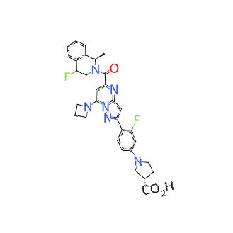 C[C@@H]1c2ccccc2[C@H](F)CN1C(=O)c1cc(N2CCC2)n2nc(-c3ccc(N4CC[C@H](C(=O)O)C4)cc3F)cc2n1